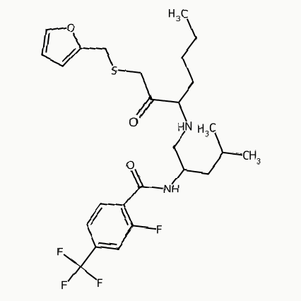 CCCCC(NCC(CC(C)C)NC(=O)c1ccc(C(F)(F)F)cc1F)C(=O)CSCc1ccco1